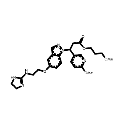 COCCCOC(=O)CC(c1ccc(OC)nc1)n1ncc2cc(OCCNC3=NCCN3)ccc21